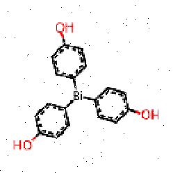 Oc1cc[c]([Bi]([c]2ccc(O)cc2)[c]2ccc(O)cc2)cc1